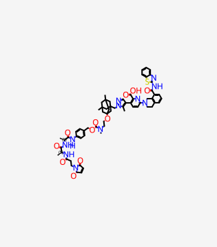 Cc1c(-c2ccc(N3CCc4cccc(C(=O)Nc5nc6ccccc6s5)c4C3)nc2C(=O)O)cnn1CC12CC3(C)CC(C)(C1)CC(OCCN(C)C(=O)OCc1ccc(NC(=O)[C@H](C)NC(=O)[C@H](C)NC(=O)CCN4C(=O)C=CC4=O)cc1)(C3)C2